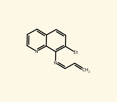 C=C/C=N\c1c(CC)ccc2cccnc12